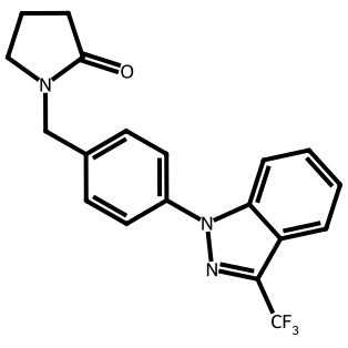 O=C1CCCN1Cc1ccc(-n2nc(C(F)(F)F)c3ccccc32)cc1